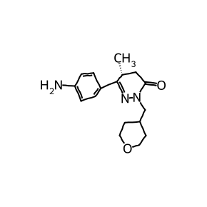 C[C@@H]1CC(=O)N(CC2CCOCC2)N=C1c1ccc(N)cc1